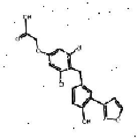 O=C(O)COc1cc(Cl)c(Cc2ccc(O)c(-c3ccoc3)c2)c(Cl)c1